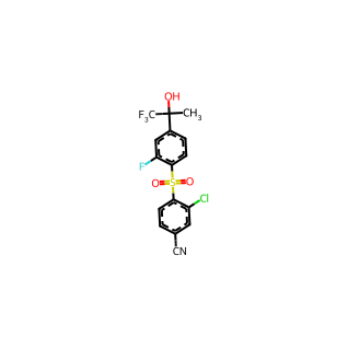 CC(O)(c1ccc(S(=O)(=O)c2ccc(C#N)cc2Cl)c(F)c1)C(F)(F)F